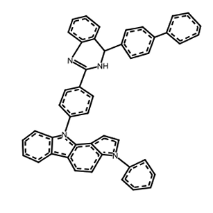 c1ccc(-c2ccc(C3NC(c4ccc(-n5c6ccccc6c6ccc7c(ccn7-c7ccccc7)c65)cc4)=Nc4ccccc43)cc2)cc1